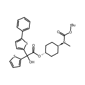 CN(C(=O)OC(C)(C)C)[C@H]1CC[C@H](OC(=O)C(O)(c2cccs2)c2ccc(-c3ccccc3)s2)CC1